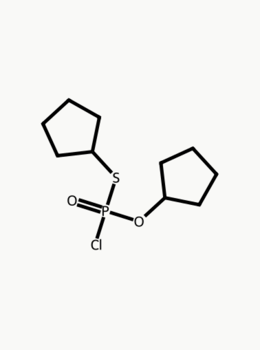 O=P(Cl)(OC1CCCC1)SC1CCCC1